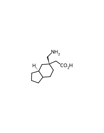 NC[C@@]1(CC(=O)O)CCC2CCC[C@H]2C1